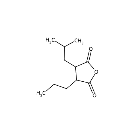 CCCC1C(=O)OC(=O)C1CC(C)C